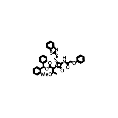 CO/C(C)=C(\C(=O)OC(c1ccccc1)c1ccccc1)N1C(=O)C(NC(=O)COc2ccccc2)C1SSc1nc2ccccc2s1